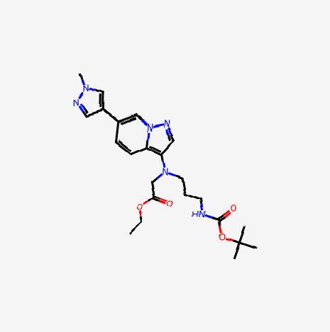 CCOC(=O)CN(CCCNC(=O)OC(C)(C)C)c1cnn2cc(-c3cnn(C)c3)ccc12